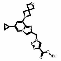 CC(C)(C)OC(=O)c1cn(Cc2cn3cc(C4CC4)cc(N4CC5(COC5)C4)c3n2)nn1